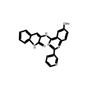 COc1ccc2nc(-c3cccnc3)nc(Nc3cc4ccccc4[nH]c3=O)c2c1